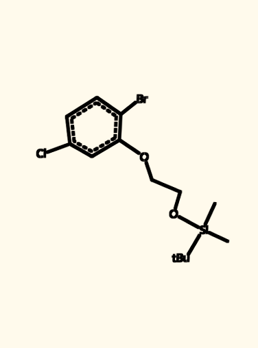 CC(C)(C)[Si](C)(C)OCCOc1cc(Cl)ccc1Br